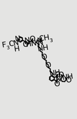 Cn1cc(NC(=O)c2coc(-c3ccnc(NCC(F)(F)F)c3)n2)c(CNCCCOCCCOCCCNc2cccc3c2C(=O)N(C2CCC(=O)NC2=O)C3=O)n1